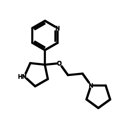 c1cncc(C2(OCCN3CCCC3)CCNC2)c1